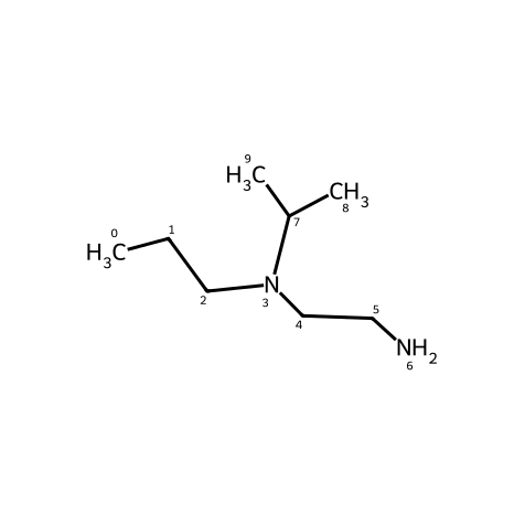 CCCN(CCN)C(C)C